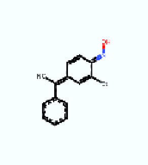 CCC1=CC(=C(C#N)c2ccccc2)C=CC1=NO